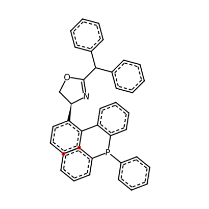 c1ccc(C(C2=N[C@@H](c3ccccc3-c3ccccc3P(c3ccccc3)c3ccccc3)CO2)c2ccccc2)cc1